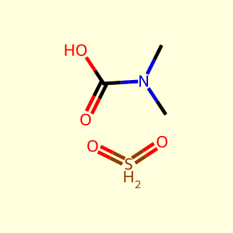 CN(C)C(=O)O.O=[SH2]=O